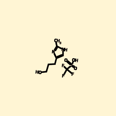 Cc1nc(CCCO)c[nH]1.O=S(=O)(O)C(F)(F)F